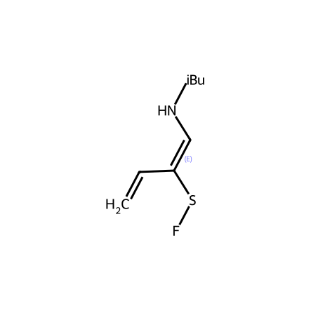 C=C/C(=C\NC(C)CC)SF